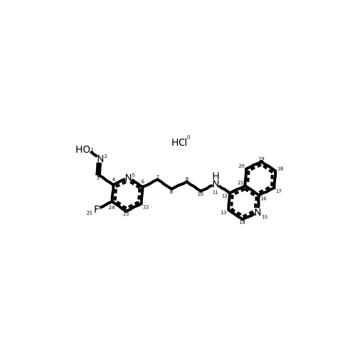 Cl.ON=Cc1nc(CCCCNc2ccnc3ccccc23)ccc1F